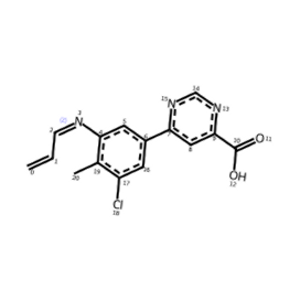 C=C/C=N\c1cc(-c2cc(C(=O)O)ncn2)cc(Cl)c1C